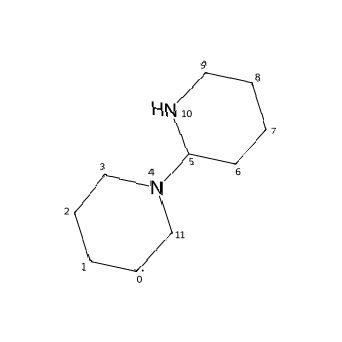 [CH]1CCCN(C2CCCCN2)C1